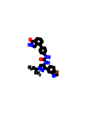 CC(C)n1cc(NC(=O)Nc2ccc(-c3cccc4c3CNC4=O)cc2)c(-c2ccc3scnc3c2)n1